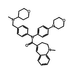 CN1CCC(C(=O)N(c2ccc(CN(C)C3CCOCC3)cc2)c2ccc(N3CCOCC3)cc2)=Cc2ccccc21